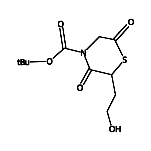 CC(C)(C)OC(=O)N1CC(=O)SC(CCO)C1=O